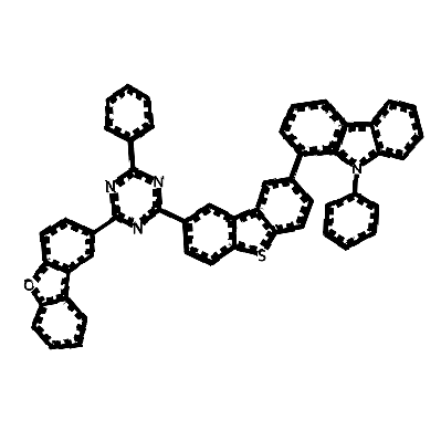 c1ccc(-c2nc(-c3ccc4oc5ccccc5c4c3)nc(-c3ccc4sc5ccc(-c6cccc7c8ccccc8n(-c8ccccc8)c67)cc5c4c3)n2)cc1